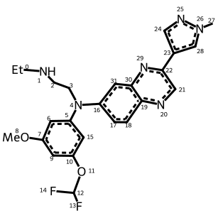 CCNCCN(c1cc(OC)cc(OC(F)F)c1)c1ccc2ncc(-c3cnn(C)c3)nc2c1